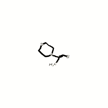 CCC=C(C)N1CCOCC1